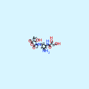 CC(=O)C1=C(O)C(=C(C)Nc2cc(N)cc(NC(=O)C(O)CO)c2)C(=O)OC1=O